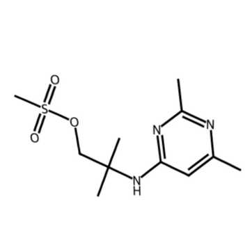 Cc1cc(NC(C)(C)COS(C)(=O)=O)nc(C)n1